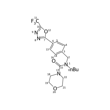 CCCCN(Cc1ccc(-c2nnc(C(F)(F)F)o2)cc1)C(=O)N1CCOCC1